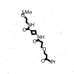 CSOCCNC(=O)[C@H]1C[C@H](NC(=O)CCOCCC(=O)C(C)C)C1